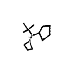 CC(C)(C)N(C1CCCC1)[SiH]1CCC1